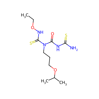 CCONC(=S)N(CCCOC(C)C)C(=O)NC(N)=S